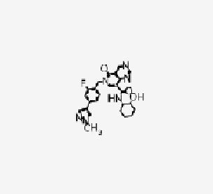 Cn1cc(-c2ccc(Cn3cc(C(=O)N[C@H]4CCCC[C@@H]4O)c4ncncc4c3=O)c(F)c2)cn1